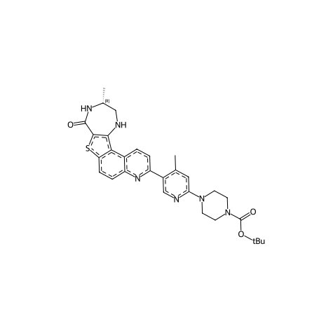 Cc1cc(N2CCN(C(=O)OC(C)(C)C)CC2)ncc1-c1ccc2c(ccc3sc4c(c32)NC[C@@H](C)NC4=O)n1